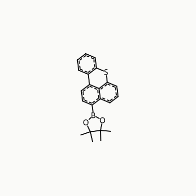 CC1(C)OB(c2ccc3c4c(cccc24)Sc2ccccc2-3)OC1(C)C